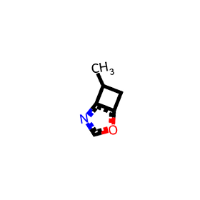 CC1Cc2ocnc21